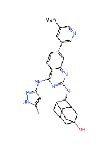 COc1cncc(-c2ccc3c(Nc4cc(C)[nH]n4)nc(NC4C5CC6CC4CC(O)(C6)C5)nc3c2)c1